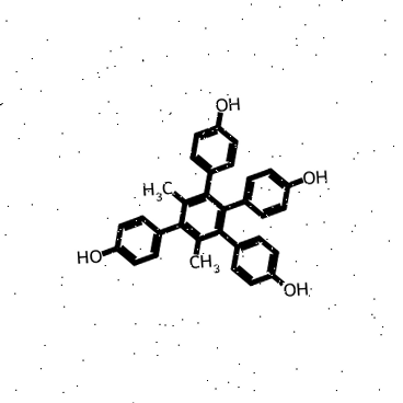 Cc1c(-c2ccc(O)cc2)c(C)c(-c2ccc(O)cc2)c(-c2ccc(O)cc2)c1-c1ccc(O)cc1